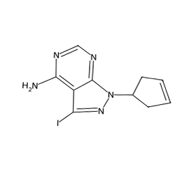 Nc1ncnc2c1c(I)nn2C1CC=CC1